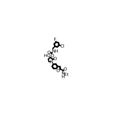 CCNC(=O)c1cc2cc(N3CC[C@](O)(OC(=O)NCc4cc(F)cc(Cl)c4)C3=O)ccc2o1